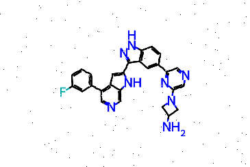 NC1CN(c2cncc(-c3ccc4[nH]nc(-c5cc6c(-c7cccc(F)c7)cncc6[nH]5)c4c3)n2)C1